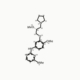 CNc1ccnc(Nc2ccc(OC)c(OC[C@@H](CN3CCCC3)OC)c2)n1